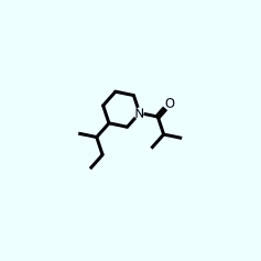 CCC(C)C1CCCN(C(=O)C(C)C)C1